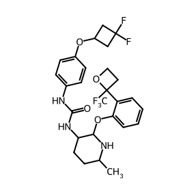 CC1CCC(NC(=O)Nc2ccc(OC3CC(F)(F)C3)cc2)C(Oc2ccccc2C2(C(F)(F)F)CCO2)N1